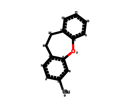 CC(C)(C)c1ccc2c(c1)Oc1ccccc1CC2